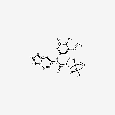 COc1c([C@@H]2C[C@](C)(C(F)(F)F)S[C@H]2C(=O)Nc2ccn3nncc3c2)ccc(F)c1F